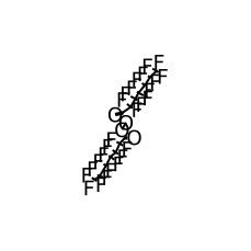 O=C(OOC(=O)C(F)(F)C(F)(F)C(F)(F)C(F)(F)C(F)(F)C(F)(F)F)C(F)(F)C(F)(F)C(F)(F)C(F)(F)C(F)(F)C(F)(F)F